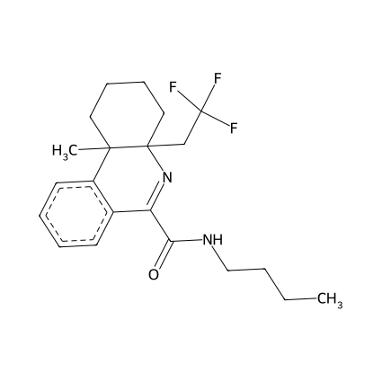 CCCCNC(=O)C1=NC2(CC(F)(F)F)CCCCC2(C)c2ccccc21